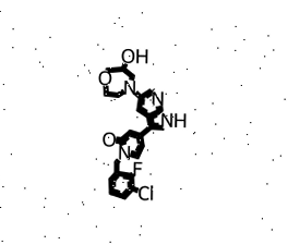 O=c1cc(-c2c[nH]c3ncc(N4CCOCC(O)C4)cc23)ccn1Cc1cccc(Cl)c1F